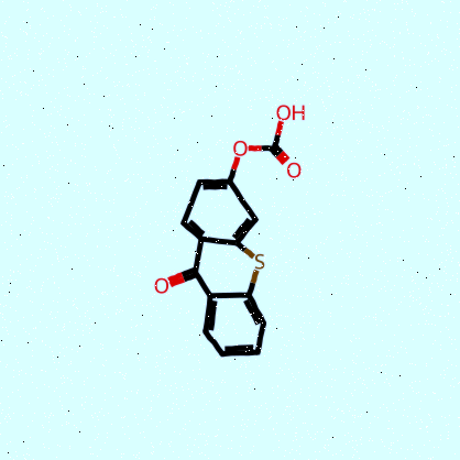 O=C(O)Oc1ccc2c(=O)c3ccccc3sc2c1